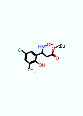 Cc1cc(Cl)cc(C(CC(=O)OC(C)(C)C)NO)c1O